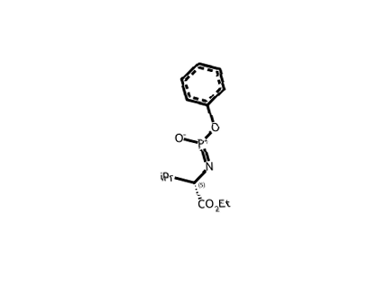 CCOC(=O)[C@@H](N=[P+]([O-])Oc1ccccc1)C(C)C